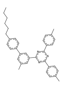 CCCCCCc1ccc(-c2cc(C)cc(-c3nc(-c4ccc(C)cc4)nc(-c4ccc(C)cc4)n3)c2)cc1